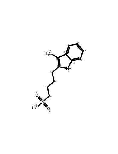 Cc1c(CCCCS(=O)(=O)O)[nH]c2ccccc12